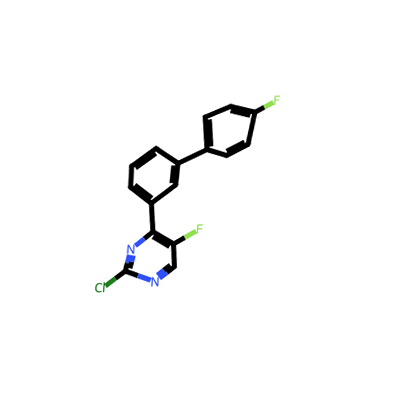 Fc1ccc(-c2cccc(-c3nc(Cl)ncc3F)c2)cc1